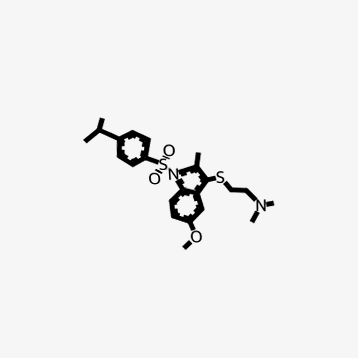 COc1ccc2c(c1)c(SCCN(C)C)c(C)n2S(=O)(=O)c1ccc(C(C)C)cc1